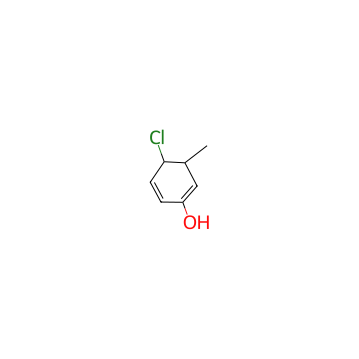 CC1C=C(O)C=CC1Cl